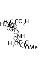 COc1ccc2c(cc(C(=O)Nc3ccc(S(=O)(=O)N(C(N)=O)C(C)CC(=O)O)cc3)n2C)c1Cl